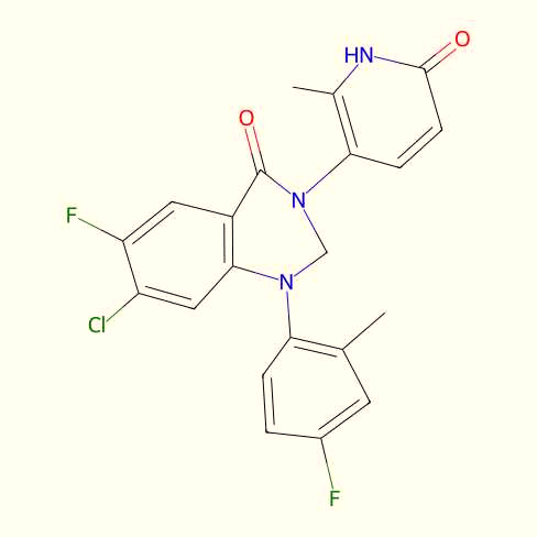 Cc1cc(F)ccc1N1CN(c2ccc(=O)[nH]c2C)C(=O)c2cc(F)c(Cl)cc21